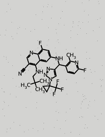 Cc1nc(F)ccc1C(Nc1cc(F)c2ncc(C#N)c(NCC(C)(C)C)c2c1)c1cn(C2(C(F)(F)F)CC2)nn1